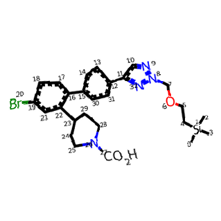 C[Si](C)(C)CCOCn1ncc(-c2ccc(-c3ccc(Br)cc3C3CCN(C(=O)O)CC3)cc2)n1